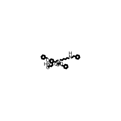 O=C(OCc1ccccc1)N(CCCCCCNCCc1ccccc1)CC(O)c1ccc(OCc2ccccc2)c2[nH]c(=O)ccc12